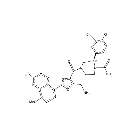 COc1ccc(-c2nc(C(=O)N3CCN(C(N)=O)[C@H](c4ccc(Cl)c(Cl)c4)C3)c(CN)o2)c2ccc(C(F)(F)F)nc12